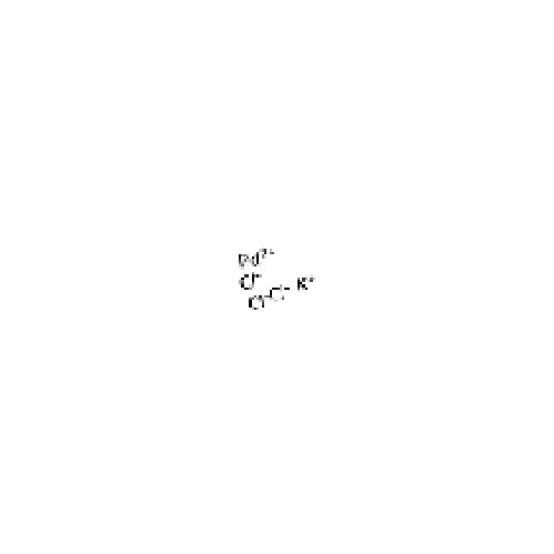 [Cl-].[Cl-].[Cl-].[K+].[Pd+2]